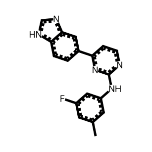 Cc1cc(F)cc(Nc2nccc(-c3ccc4[nH]cnc4c3)n2)c1